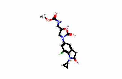 CC(C)(C)OC(=O)NCC1CN(c2cc(F)c3c(c2)CC(=O)N3C2CC2)C(=O)O1